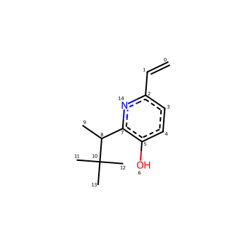 C=Cc1ccc(O)c(C(C)C(C)(C)C)n1